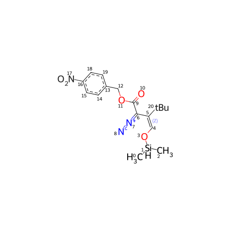 C[SiH](C)O/C=C(\C(=[N+]=[N-])C(=O)OCc1ccc([N+](=O)[O-])cc1)C(C)(C)C